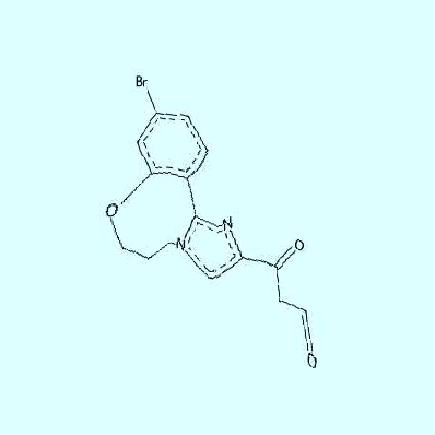 O=CCC(=O)c1cn2c(n1)-c1ccc(Br)cc1OCC2